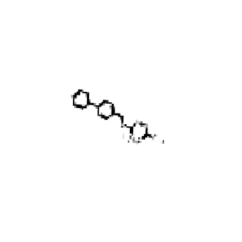 C=C(C)/N=N\C(=C)SCc1ccc(-c2ccccc2)cc1